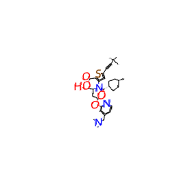 CC(CCOc1cc(CN(C)C)ccn1)N(c1cc(C#CC(C)(C)C)sc1C(=O)O)C(=O)[C@H]1CC[C@H](C)CC1